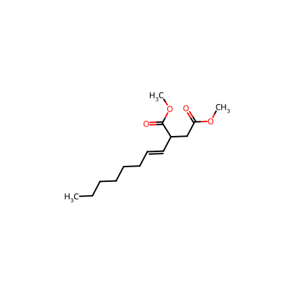 CCCCCC/C=C/C(CC(=O)OC)C(=O)OC